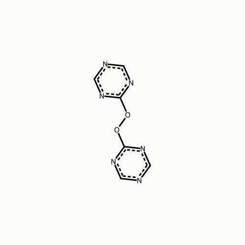 c1ncnc(OOc2ncncn2)n1